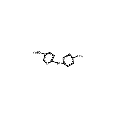 Cc1ccc(Nc2ccc(C=O)cn2)cc1